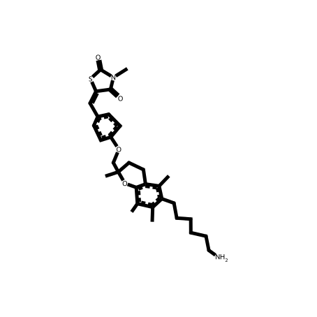 Cc1c(C)c2c(c(C)c1CCCCCCN)CCC(C)(COc1ccc(C=C3SC(=O)N(C)C3=O)cc1)O2